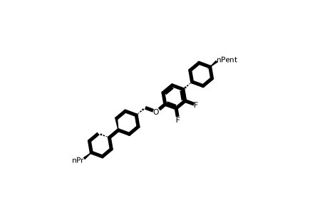 CCCCC[C@H]1CC[C@H](c2ccc(OC[C@H]3CC[C@H]([C@H]4CC[C@H](CCC)CC4)CC3)c(F)c2F)CC1